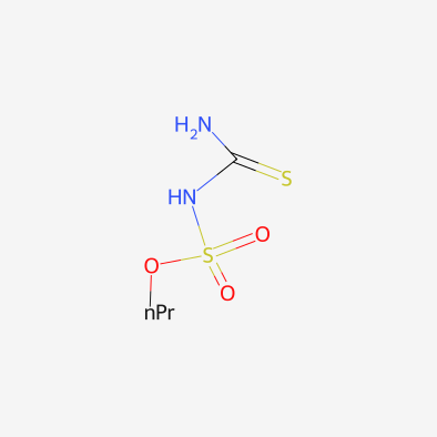 CCCOS(=O)(=O)NC(N)=S